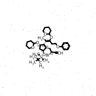 C#C[C@@H](Br)C[C@@H]1[C@@H](/C(C)=C(\CCOc2ccccc2)OC2CCCCO2)[C@@H](OC2CCCCO2)C[C@@H]1O[Si](C)(C)C(C)(C)C